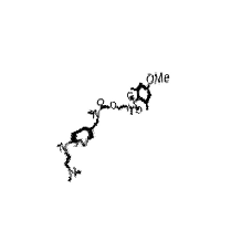 COc1cc(C)c(S(=O)(=O)N(C)CCOCC(=O)N(C)Cc2ccc(N(C)CCN(C)C)nc2)c(C)c1